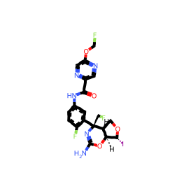 NC1=N[C@](CF)(c2cc(NC(=O)c3cnc(OCF)cn3)ccc2F)[C@H]2CO[C@H](I)[C@H]2O1